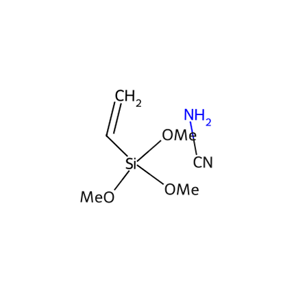 C=C[Si](OC)(OC)OC.N#CN